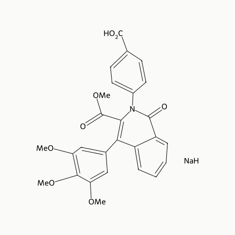 COC(=O)c1c(-c2cc(OC)c(OC)c(OC)c2)c2ccccc2c(=O)n1-c1ccc(C(=O)O)cc1.[NaH]